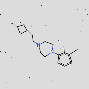 Cc1cccc(N2CCN(CC[C@H]3C[C@@H](C)C3)CC2)c1C